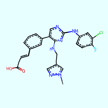 Cn1cc(CNc2nc(Nc3ccc(F)c(Cl)c3)ncc2-c2cccc(C=CC(=O)O)c2)cn1